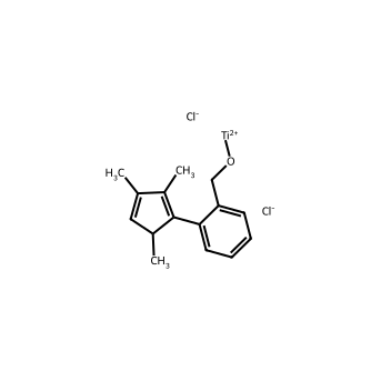 CC1=CC(C)C(c2ccccc2C[O][Ti+2])=C1C.[Cl-].[Cl-]